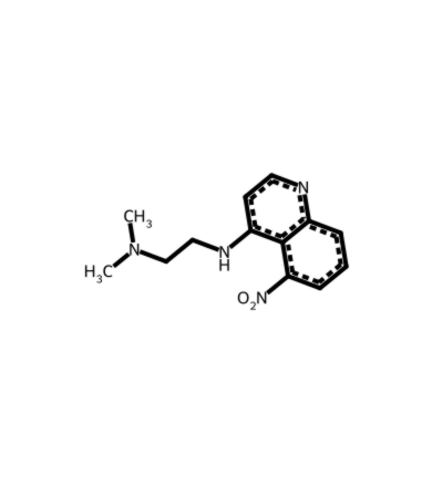 CN(C)CCNc1ccnc2cccc([N+](=O)[O-])c12